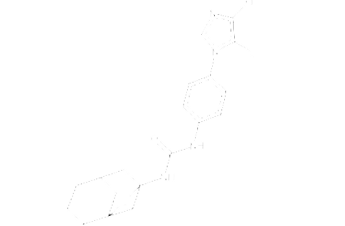 O=C(Nc1ccc(-n2cnc(Cl)c2Cl)cc1)NC12CC3CCCC(C3)(C1)C2